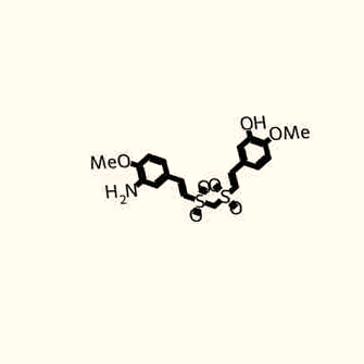 COc1ccc(C=CS(=O)(=O)CS(=O)(=O)C=Cc2ccc(OC)c(O)c2)cc1N